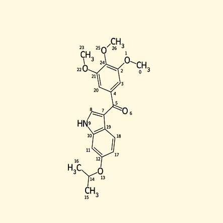 COc1cc(C(=O)c2c[nH]c3cc(OC(C)C)ccc23)cc(OC)c1OC